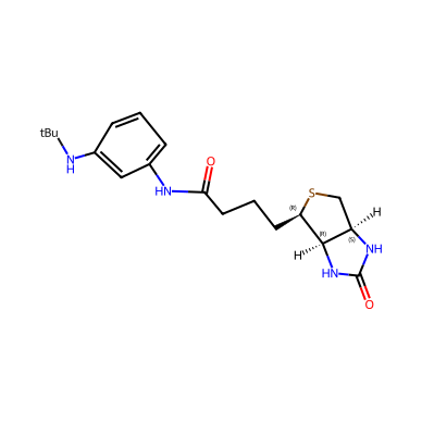 CC(C)(C)Nc1cccc(NC(=O)CCC[C@H]2SC[C@H]3NC(=O)N[C@H]32)c1